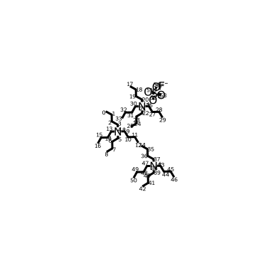 CCCC[N+](CCCC)(CCCC)CCCC.CCCC[N+](CCCC)(CCCC)CCCC.CCCC[N+](CCCC)(CCCC)CCCC.O=S(=O)([O-])[O-].[F-]